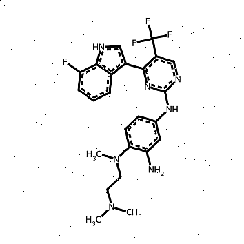 CN(C)CCN(C)c1ccc(Nc2ncc(C(F)(F)F)c(-c3c[nH]c4c(F)cccc34)n2)cc1N